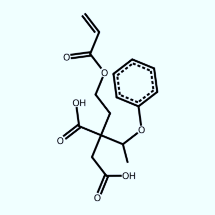 C=CC(=O)OCCC(CC(=O)O)(C(=O)O)C(C)Oc1ccccc1